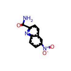 NC(=O)c1ccc2cc([N+](=O)[O-])ccc2n1